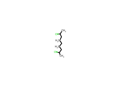 CC(Cl)C[SiH2]C[SiH2]CC(C)Cl